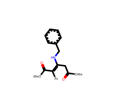 COC(=O)C/C(NCc1ccccc1)=C(\C(C)=O)C(=O)OC